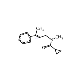 C/C(=C\CN(C)C(=O)C1CC1)c1ccccc1